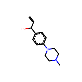 C=CC(O)c1ccc(N2CCN(C)CC2)cc1